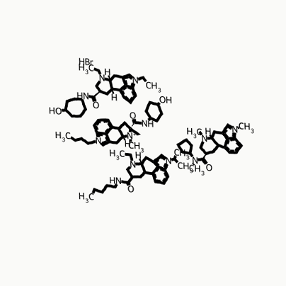 Br.CCCCCNC(=O)C1CC2c3cccc4c3c(cn4C(C)C)C[C@H]2N(CC)C1.CCCCn1cc2c3c(cccc31)C1C[C@@]3(C(=O)NC4CCC(O)CC4)C[N+]3(C)[C@@H]1C2.CCN1C[C@H](C(=O)NC2CCCC(O)CC2)C[C@H]2c3cccc4c3c(cn4CC)C[C@H]21.CN(C(=O)[C@@H]1CC2c3cccc4c3c(cn4C)C[C@H]2N(C)C1)C1CCCC1